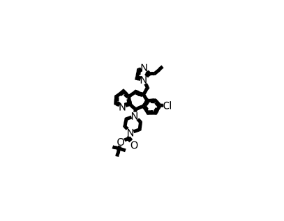 CCc1nccn1CC1=Cc2cccnc2C(N2CCN(C(=O)OC(C)(C)C)CC2)c2ccc(Cl)cc21